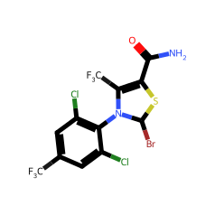 NC(=O)C1=C(C(F)(F)F)N(c2c(Cl)cc(C(F)(F)F)cc2Cl)C(Br)S1